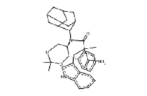 CC1(C)OC[C@@H](N(C(=O)C(C)(Cc2c[nH]c3ccccc23)C(N)=O)C2C3CC4CC(C3)CC2C4)[C@H](c2ccccc2)O1